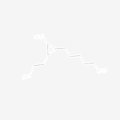 CCCCCCCCCCCCC1C(CCCCCC(=O)O)C1C(=O)O